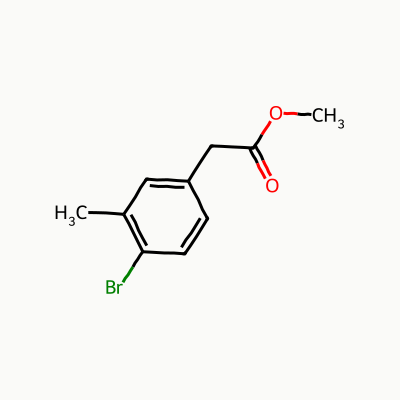 COC(=O)Cc1ccc(Br)c(C)c1